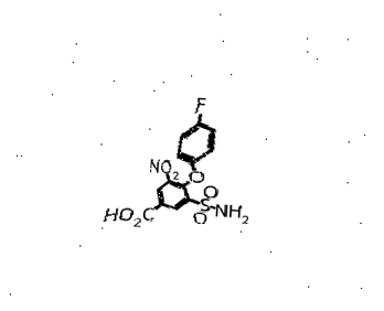 NS(=O)(=O)c1cc(C(=O)O)cc([N+](=O)[O-])c1Oc1ccc(F)cc1